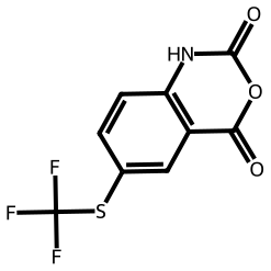 O=c1[nH]c2ccc(SC(F)(F)F)cc2c(=O)o1